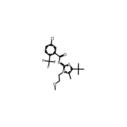 COCCn1c(C)c(C(C)(C)C)s/c1=N\C(=O)c1cc(Cl)ccc1C(F)(F)F